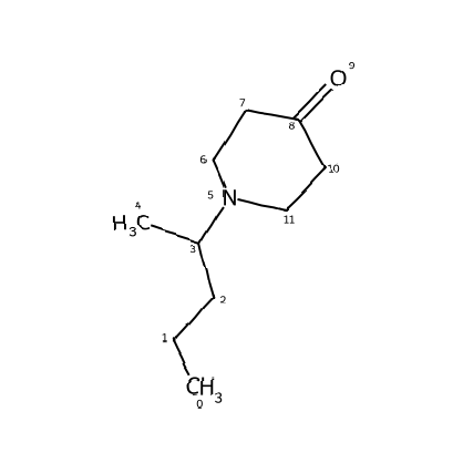 CCCC(C)N1CCC(=O)CC1